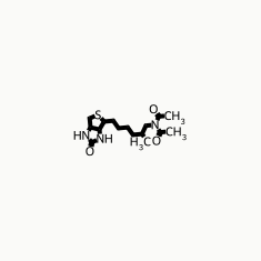 CC(=O)N(CC(C)CCCCC1SCC2NC(=O)NC21)C(C)=O